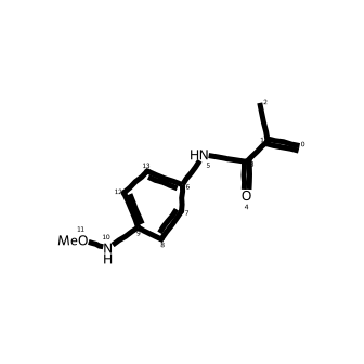 C=C(C)C(=O)Nc1ccc(NOC)cc1